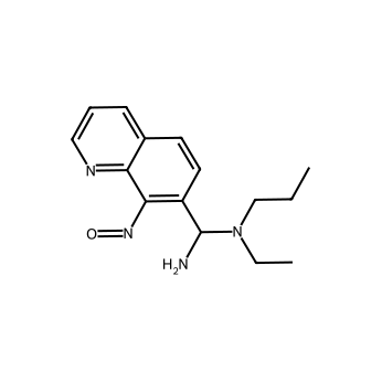 CCCN(CC)C(N)c1ccc2cccnc2c1N=O